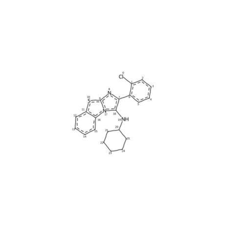 Clc1ccccc1-c1nc2sc3ccccc3n2c1NC1CCCCC1